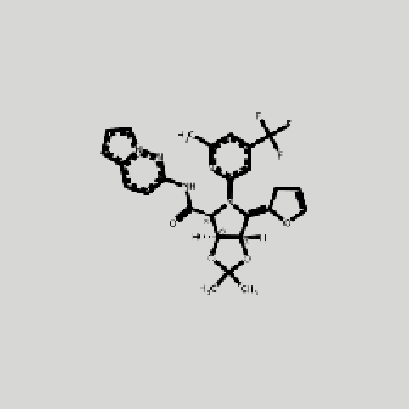 Cc1cc(C(F)(F)F)cc(N2C(=C3CC=CO3)[C@@H]3OC(C)(C)O[C@H]3[C@H]2C(=O)Nc2ccc3cccn3n2)n1